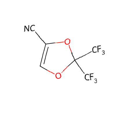 N#CC1=COC(C(F)(F)F)(C(F)(F)F)O1